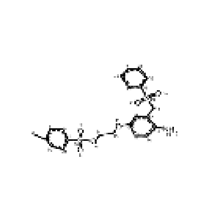 Cc1ccc(S(=O)(=O)OCCOc2ccc(N)c(CS(=O)(=O)c3ccccc3)c2)cc1